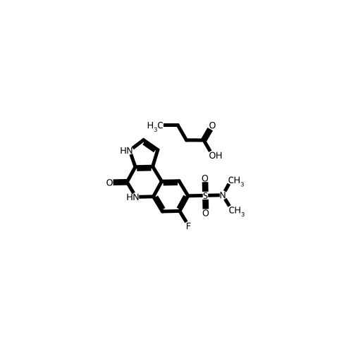 CCCC(=O)O.CN(C)S(=O)(=O)c1cc2c(cc1F)[nH]c(=O)c1[nH]ccc12